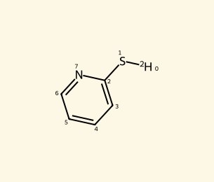 [2H]Sc1ccccn1